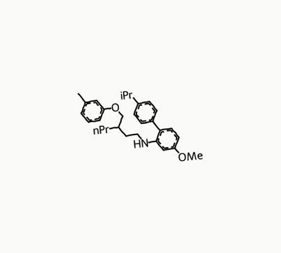 CCCC(CCNc1cc(OC)ccc1-c1ccc(C(C)C)cc1)COc1cccc(C)c1